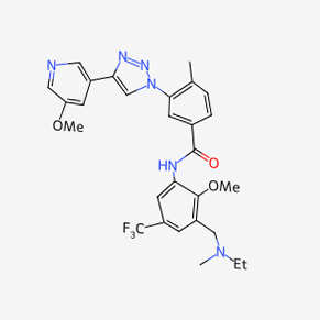 CCN(C)Cc1cc(C(F)(F)F)cc(NC(=O)c2ccc(C)c(-n3cc(-c4cncc(OC)c4)nn3)c2)c1OC